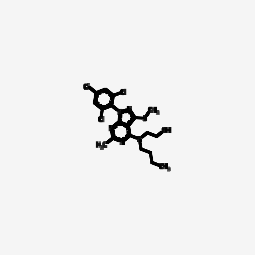 CCCCN(CCO)c1nc(C)nc2c1c(SC)nn2-c1c(Cl)cc(Cl)cc1Cl